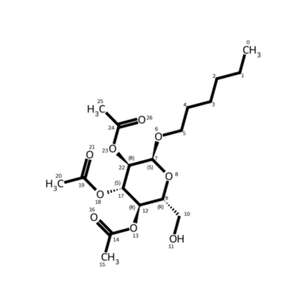 CCCCCCO[C@H]1O[C@H](CO)[C@@H](OC(C)=O)[C@H](OC(C)=O)[C@H]1OC(C)=O